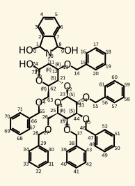 OC1c2ccccc2C(O)N1[C@@H]1[C@@H](OCc2ccccc2)[C@H](O[C@@H]2O[C@H](COCc3ccccc3)[C@H](OCc3ccccc3)[C@H](OCc3ccccc3)[C@H]2OCc2ccccc2)[C@@H](COCc2ccccc2)O[C@H]1O